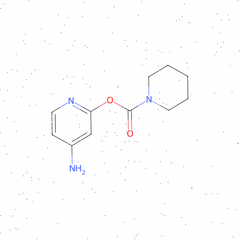 Nc1ccnc(OC(=O)N2CCCCC2)c1